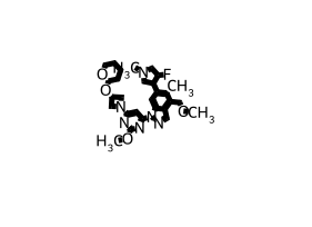 COCc1c(C)c(C2CN(C)CC2F)cc2c1cnn2-c1cc(N2CC(OC3CCCCO3)C2)nc(OC)n1